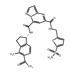 CC(=O)c1ccc2c(c1C)CC[C@@H]2NC(=O)c1cc(C(=O)NCc2ccc(S(N)(=O)=O)s2)nc2ccnn12